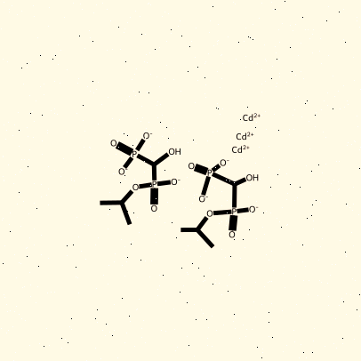 CC(C)OP(=O)([O-])C(O)P(=O)([O-])[O-].CC(C)OP(=O)([O-])C(O)P(=O)([O-])[O-].[Cd+2].[Cd+2].[Cd+2]